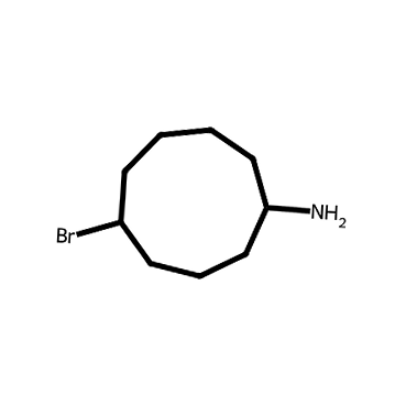 NC1CCCCC(Br)CCC1